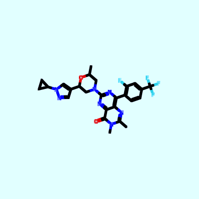 Cc1nc2c(-c3ccc(C(F)(F)F)cc3F)nc(N3CC(C)OC(c4cnn(C5CC5)c4)C3)nc2c(=O)n1C